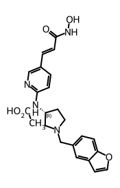 CC(=O)O.O=C(C=Cc1ccc(N[C@@H]2CCN(Cc3ccc4occc4c3)C2)nc1)NO